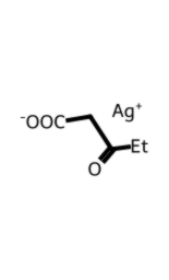 CCC(=O)CC(=O)[O-].[Ag+]